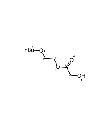 CCCCOCCOC(=O)CO